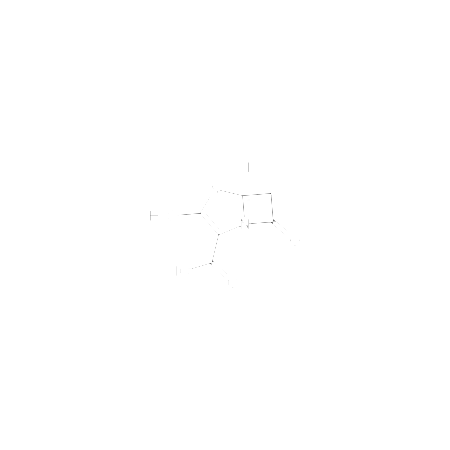 CC1=C(C(=O)O)N2C(=O)C[C@@H]2S1